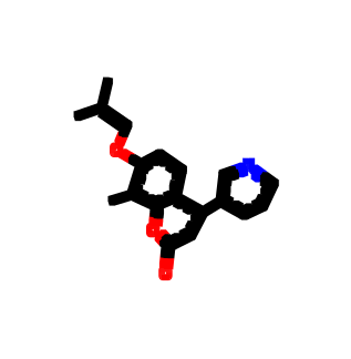 CC(C)=COc1ccc2c(-c3cccnc3)cc(=O)oc2c1C